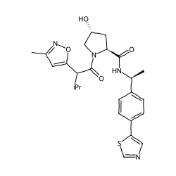 Cc1cc(C(C(=O)N2C[C@H](O)C[C@H]2C(=O)N[C@@H](C)c2ccc(-c3cncs3)cc2)C(C)C)on1